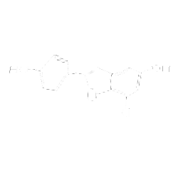 Oc1ccc(-c2cc3cc(O)cc(Cl)c3o2)cc1